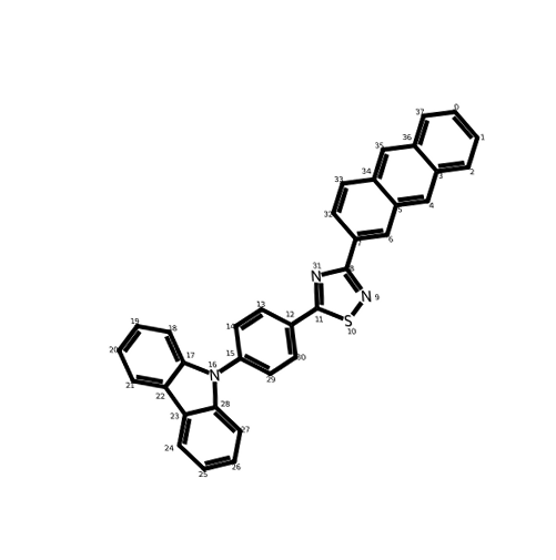 c1ccc2cc3cc(-c4nsc(-c5ccc(-n6c7ccccc7c7ccccc76)cc5)n4)ccc3cc2c1